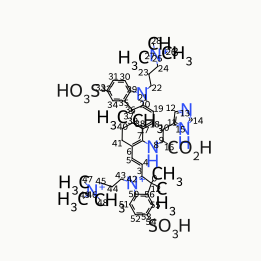 CC1(C)C(/C=C/C2=C(NC(Cc3cnc[nH]3)C(=O)O)C(=C/C=C3/N(CCC[N+](C)(C)C)c4ccc(S(=O)(=O)O)cc4C3(C)C)/CCC2)=[N+](CCC[N+](C)(C)C)c2ccc(S(=O)(=O)O)cc21